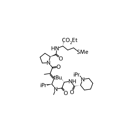 CCOC(=O)[C@H](CCSC)NC(=O)[C@@H]1CCCN1C(=O)/C(C)=C/[C@H](C(C)C)N(C)C(=O)[C@@H](NC(=O)[C@H]1CCCCN1C(C)C)C(C)(C)C